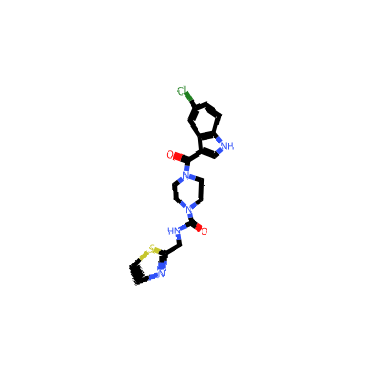 O=C(NCc1nccs1)N1CCN(C(=O)c2c[nH]c3ccc(Cl)cc23)CC1